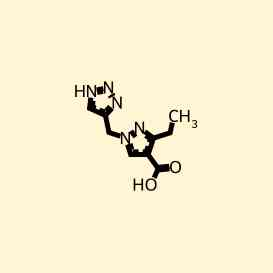 CCc1nn(Cc2c[nH]nn2)cc1C(=O)O